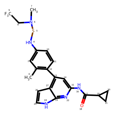 Cc1cc(NSN(C)CC(F)(F)F)ccc1-c1cc(NC(=O)C2CC2)nc2[nH]ccc12